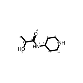 CC(O)C(=O)NC1CCNCC1